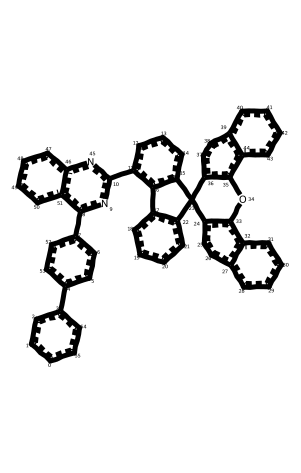 c1ccc(-c2ccc(-c3nc(-c4cccc5c4-c4ccccc4C54c5ccc6ccccc6c5Oc5c4ccc4ccccc54)nc4ccccc34)cc2)cc1